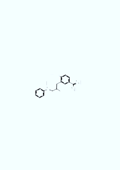 CC(CNc1ccccc1)Cc1cc(C(=N)N)ccc1O